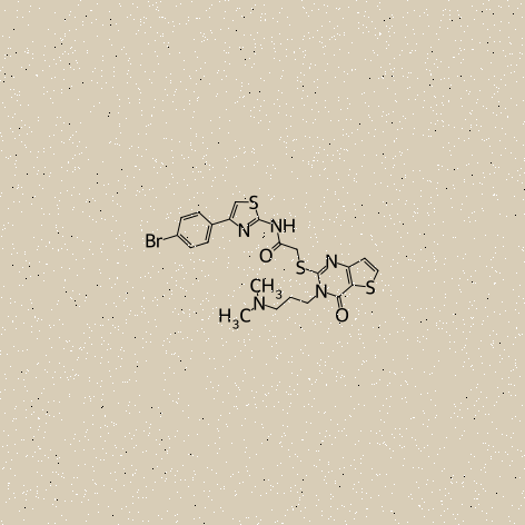 CN(C)CCCn1c(SCC(=O)Nc2nc(-c3ccc(Br)cc3)cs2)nc2ccsc2c1=O